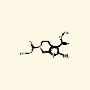 CCCOC(=O)N1CCc2c(sc(N)c2C(=O)OC(C)(C)C)C1